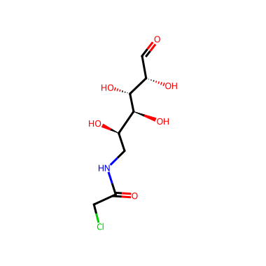 O=C[C@H](O)[C@@H](O)[C@@H](O)[C@H](O)CNC(=O)CCl